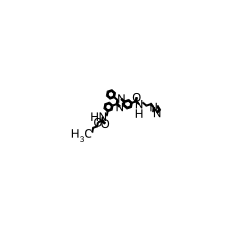 CCCCOC(=O)NCc1cccc(-c2nc3ccc(C(=O)NCCCn4ccnc4)cc3nc2-c2ccccc2)c1